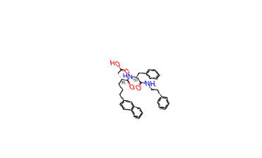 O=C(O)C[C@@H](CCCc1ccc2ccccc2c1)C(=O)N[C@@H](Cc1ccccc1)C(=O)NCCc1ccccc1